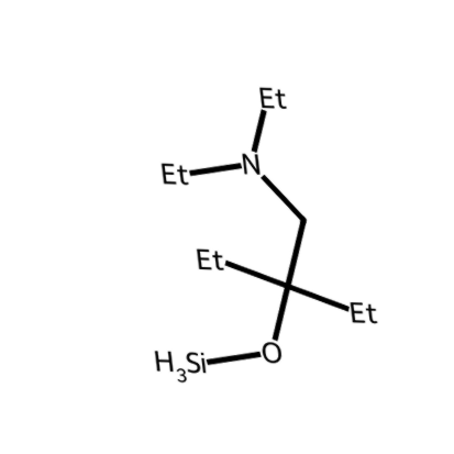 CCN(CC)CC(CC)(CC)O[SiH3]